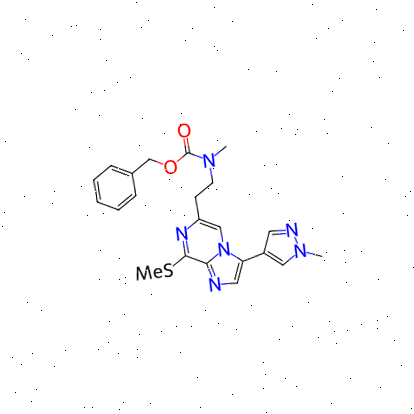 CSc1nc(CCN(C)C(=O)OCc2ccccc2)cn2c(-c3cnn(C)c3)cnc12